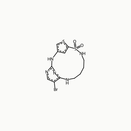 O=S1(=O)NCCCCNc2nc(ncc2Br)Nc2csc1c2